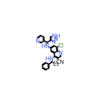 CC[C@@H](Nc1c(C#N)cnc2c(Cl)cc(N[C@@H](c3cccnc3)c3c[nH]nn3)cc12)c1ccccc1